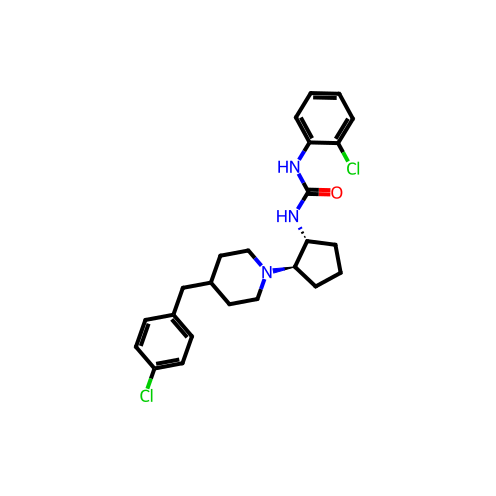 O=C(Nc1ccccc1Cl)N[C@@H]1CCC[C@H]1N1CCC(Cc2ccc(Cl)cc2)CC1